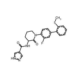 CSc1ccccc1-c1ccc(N2CCCC(NC(=O)c3cn[nH]c3)C2=O)c(F)c1